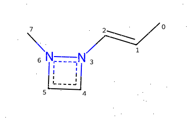 CC=Cn1ccn1C